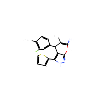 COc1ccc(C2C(C#N)=C(N)Oc3n[nH]c(-c4cccs4)c32)cc1F